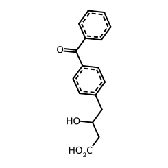 O=C(O)CC(O)Cc1ccc(C(=O)c2ccccc2)cc1